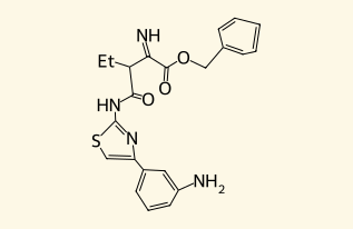 CCC(C(=N)C(=O)OCc1ccccc1)C(=O)Nc1nc(-c2cccc(N)c2)cs1